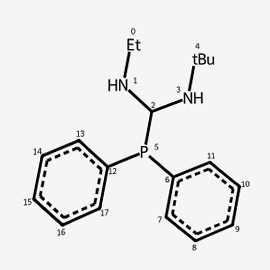 CCNC(NC(C)(C)C)P(c1ccccc1)c1ccccc1